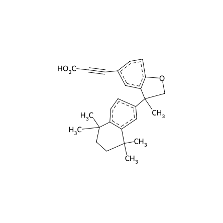 CC1(C)CCC(C)(C)c2cc(C3(C)COc4ccc(C#CC(=O)O)cc43)ccc21